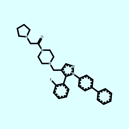 O=C(CN1CCCC1)N1CCN(Cc2cnn(-c3ccc(-c4ccccc4)cc3)c2-c2ccccc2F)CC1